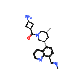 C/N=C/c1ccc([C@H]2C[C@@H](C)CN(C(=O)C3CC(N)C3)C2)c2cccnc12